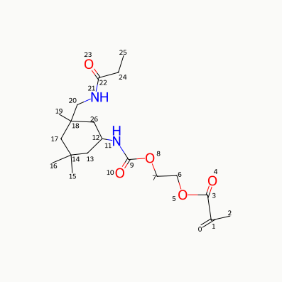 C=C(C)C(=O)OCCOC(=O)NC1CC(C)(C)CC(C)(CNC(=O)CC)C1